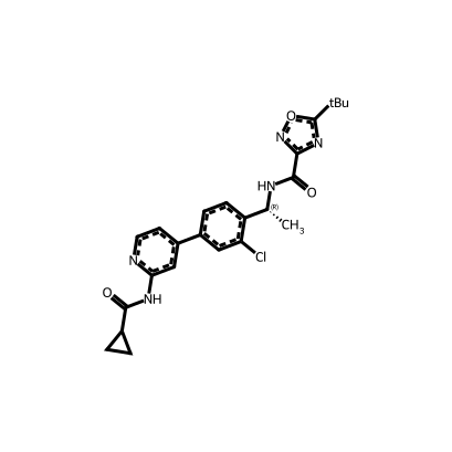 C[C@@H](NC(=O)c1noc(C(C)(C)C)n1)c1ccc(-c2ccnc(NC(=O)C3CC3)c2)cc1Cl